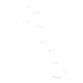 O=C(Cc1cccnc1)NCc1ccc(Cl)c(Cl)c1